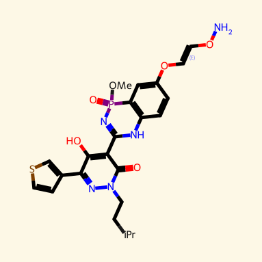 COP1(=O)N=C(c2c(O)c(-c3ccsc3)nn(CCC(C)C)c2=O)Nc2ccc(O/C=C/ON)cc21